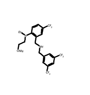 CCN(CCOC)c1ccc(C(F)(F)F)cc1CNCc1cc(C(F)(F)F)cc(C(F)(F)F)c1